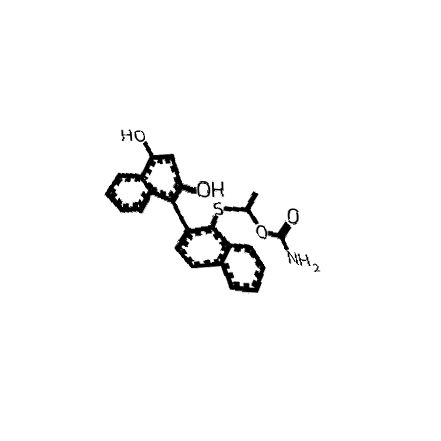 CC(OC(N)=O)Sc1c(-c2c(O)cc(O)c3ccccc23)ccc2ccccc12